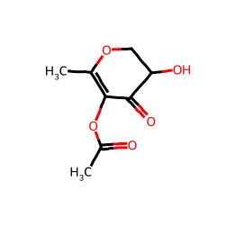 CC(=O)OC1=C(C)OCC(O)C1=O